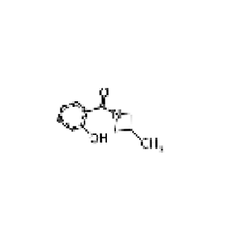 CC1CN(C(=O)c2ccccc2O)C1